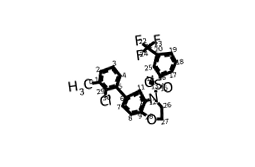 Cc1cccc(-c2ccc3c(c2)N(S(=O)(=O)c2cccc(C(F)(F)F)c2)CCO3)c1Cl